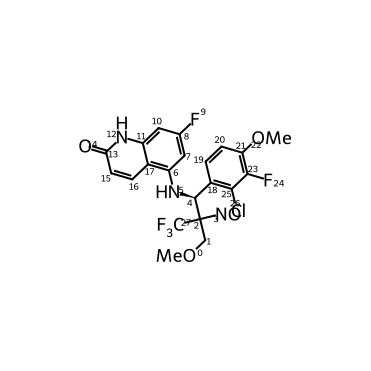 COCC(N=O)([C@@H](Nc1cc(F)cc2[nH]c(=O)ccc12)c1ccc(OC)c(F)c1Cl)C(F)(F)F